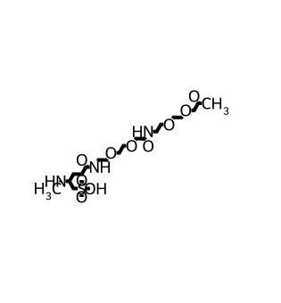 CNC(CCC(=O)NCCOCCOCC(=O)NCCOCCOCC(C)=O)CS(=O)(=O)O